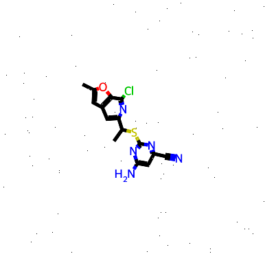 Cc1cc2cc(C(C)Sc3nc(N)cc(C#N)n3)nc(Cl)c2o1